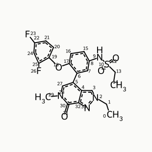 CCn1cc2c(-c3cc(NS(=O)(=O)CC)ccc3Oc3ccc(F)cc3F)cn(C)c(=O)c2n1